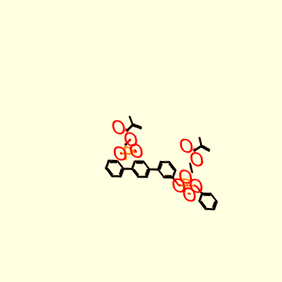 C=C(C)C(=O)OCCOP(=O)(Oc1ccccc1)Oc1cccc(-c2ccc3c(c2)P(=O)(COC(=O)C(=C)C)Oc2ccccc2-3)c1